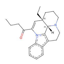 CCCC(=O)C1=C[C@]2(CC)CCCN3CCc4c(n1c1ccccc41)[C@@H]32